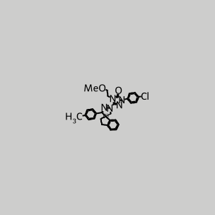 COCCn1c(N2C[C@@]3(CCc4ccccc43)C(c3ccc(C)cc3)=N2)nn(-c2ccc(Cl)cc2)c1=O